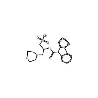 O=C(OC(CN1CCOCC1)CS(=O)(=O)O)C1c2ccccc2-c2ccccc21